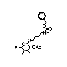 CCC1OC(OCCCCNC(=O)OCc2ccccc2)C(OC(C)=O)C(C)C1C